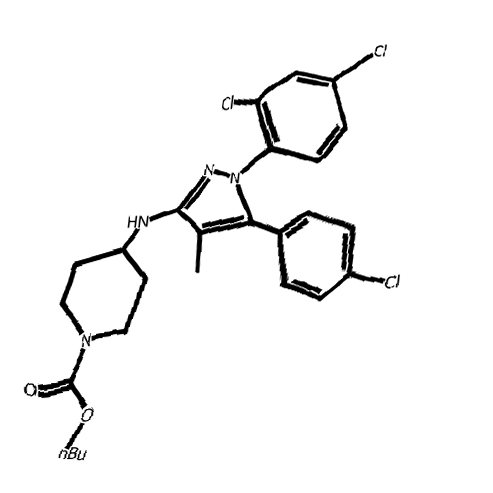 CCCCOC(=O)N1CCC(Nc2nn(-c3ccc(Cl)cc3Cl)c(-c3ccc(Cl)cc3)c2C)CC1